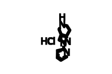 Cl.c1ccc(-n2cc3c(n2)CCNC3)nc1